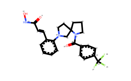 O=C(/C=C/c1ccccc1N1CCC2(CCCN2C(=O)c2ccc(C(F)(F)F)cc2)C1)NO